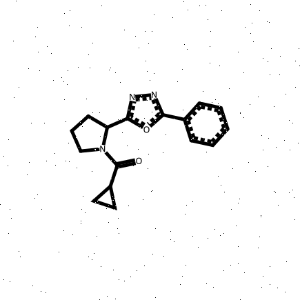 O=C(C1CC1)N1CCCC1c1nnc(-c2ccccc2)o1